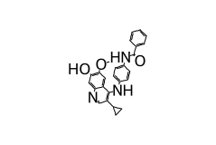 COc1cc2c(Nc3ccc(NC(=O)c4ccccc4)cc3)c(C3CC3)cnc2cc1O